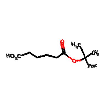 CCCC(C)C(C)(C)OC(=O)CCCCC(=O)O